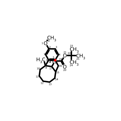 COc1ccc2c(c1)C1(C)CCCCCC(C2)C1NC(=O)OC(C)(C)C